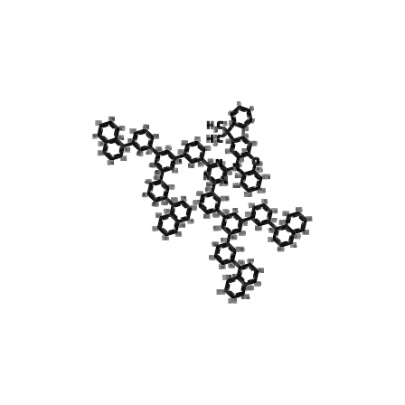 CC1(C)c2ccccc2-c2cc3c(cc21)N(c1nc(-c2cccc(-c4cc(-c5cccc(-c6cccc7ccccc67)c5)cc(-c5cccc(-c6cccc7ccccc67)c5)c4)c2)nc(-c2cccc(-c4cc(-c5cccc(-c6cccc7ccccc67)c5)cc(-c5cccc(-c6cccc7ccccc67)c5)c4)c2)n1)c1ccccc1O3